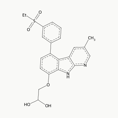 CCS(=O)(=O)c1cccc(-c2ccc(OCC(O)O)c3[nH]c4ncc(C)cc4c23)c1